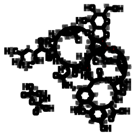 CN[C@H](CC(C)C)C(=O)N[C@H]1C(=O)N[C@@H](CC(N)=O)C(=O)N[C@H]2C(=O)N[C@H]3C(=O)N[C@H](C(=O)N[C@@H](C(=O)O)c4cc(O)cc(O)c4-c4cc3ccc4O)[C@H](O)c3ccc(c(Cl)c3)Oc3cc2cc(c3O[C@@H]2O[C@H](CO)[C@@H](O)[C@H](O)[C@H]2O[C@H]2C[C@](C)(N)C(O)[C@H](C)O2)Oc2ccc(cc2Cl)[C@H]1O.O=P(O)(O)OP(=O)(O)O